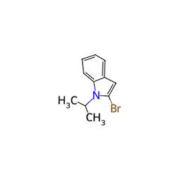 CC(C)n1c(Br)cc2ccccc21